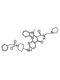 Cn1c2ccccc2n2c3nc(NC4CCN(S(=O)(=O)Cc5ccccc5)CC4)ccc3c(=O)c(C(=O)NCCN3CCCC3)c12